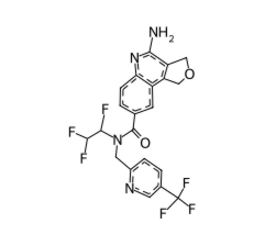 Nc1nc2ccc(C(=O)N(Cc3ccc(C(F)(F)F)cn3)C(F)C(F)F)cc2c2c1COC2